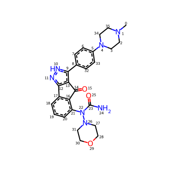 CN1CCN(c2ccc(-c3[nH]nc4c3C(=O)c3c-4cccc3N(C(N)=O)N3CCOCC3)cc2)CC1